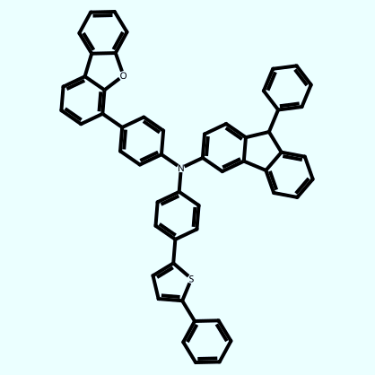 c1ccc(-c2ccc(-c3ccc(N(c4ccc(-c5cccc6c5oc5ccccc56)cc4)c4ccc5c(c4)-c4ccccc4C5c4ccccc4)cc3)s2)cc1